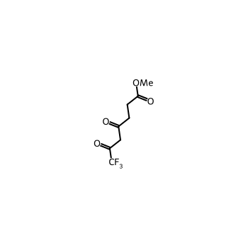 COC(=O)CCC(=O)CC(=O)C(F)(F)F